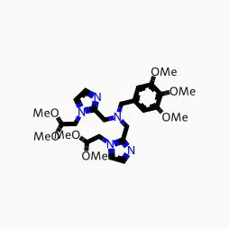 COc1cc(CN(Cc2nccn2CC(OC)OC)Cc2nccn2CC(OC)OC)cc(OC)c1OC